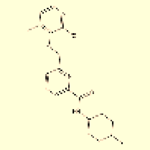 Cc1cccc(Cl)c1SCc1cccc(C(=O)NC2CCC(C)CC2)n1